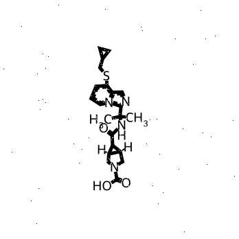 CC(C)(NC(=O)C1[C@H]2CN(C(=O)O)C[C@@H]12)c1ncc2c(SCC3CC3)cccn12